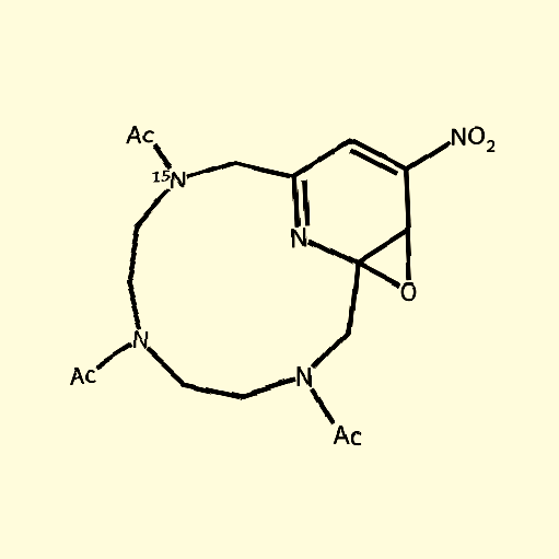 CC(=O)N1CCN(C(C)=O)CC23N=C(C=C([N+](=O)[O-])C2O3)C[15N](C(C)=O)CC1